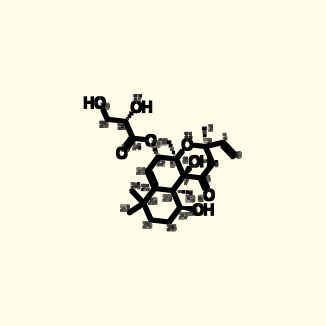 C=C[C@@]1(C)CC(=O)[C@@]2(O)[C@](C)(O1)[C@@H](OC(=O)[C@@H](O)CO)C=C1C(C)(C)CC[C@H](O)[C@@]12C